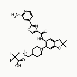 CC1(C)Cc2cc(NC(=O)c3coc(-c4ccnc(N)c4)n3)c(N3CCC(CN)CC3)cc2O1.O=C(O)C(F)(F)F